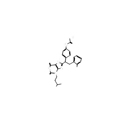 CC(=O)Nc1ccc(C(Cc2ccccc2F)c2nc3c([nH]2)c(=O)[nH]c(=O)n3CCC(C)C)cc1